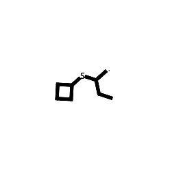 [CH2]C(CC)SC1CCC1